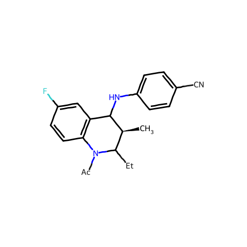 CCC1[C@H](C)C(Nc2ccc(C#N)cc2)c2cc(F)ccc2N1C(C)=O